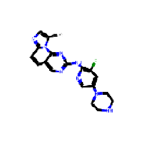 CC(C)c1cnc2ccc3cnc(Nc4ncc(N5CCNCC5)cc4F)nc3n12